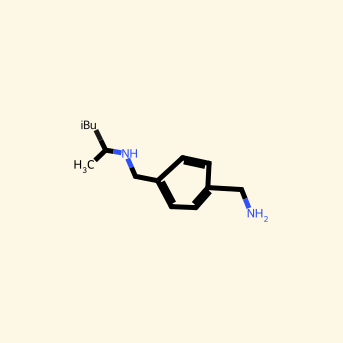 CCC(C)C(C)NCc1ccc(CN)cc1